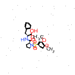 COc1ccc(S(=O)(=O)N2CCC[C@H]2C(=O)N[C@@H](Cc2ccccc2)C(=O)O)cc1OC